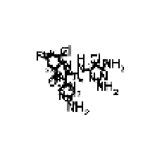 CC(Nc1nc(N)nc(N)c1Cl)c1nc2c(Cl)cc(F)cc2c(=O)n1-c1cnc(N)cn1